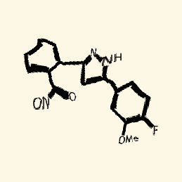 COc1cc(-c2cc(-c3ccccc3C(=O)N=O)n[nH]2)ccc1F